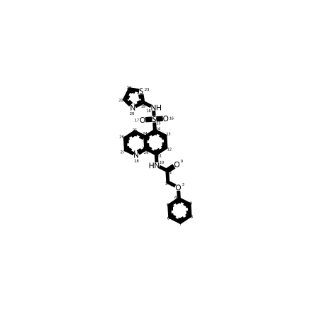 O=C(COc1ccccc1)Nc1ccc(S(=O)(=O)Nc2nccs2)c2cccnc12